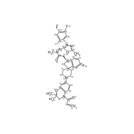 C=CC(=O)N1CC(C)(C)Oc2cc(N3CCC4(CC3)C[C@@H](CC(=O)N(C)[C@H](Cc3ccc(F)c(F)c3)c3nnc(C)o3)c3ccc(F)cc34)ccc21